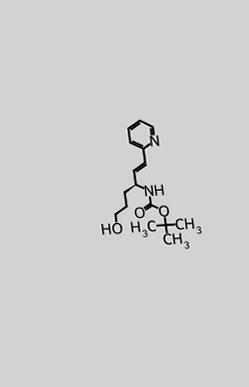 CC(C)(C)OC(=O)N[C@H](/C=C/c1ccccn1)CCCO